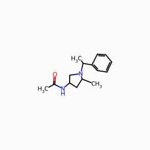 CC(=O)NC1CC(C)N(C(C)c2ccccc2)C1